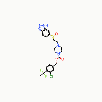 CC(F)(F)c1ccc(COC(=O)N2CCN(CC[S+]([O-])c3ccc4nn[nH]c4c3)CC2)cc1Cl